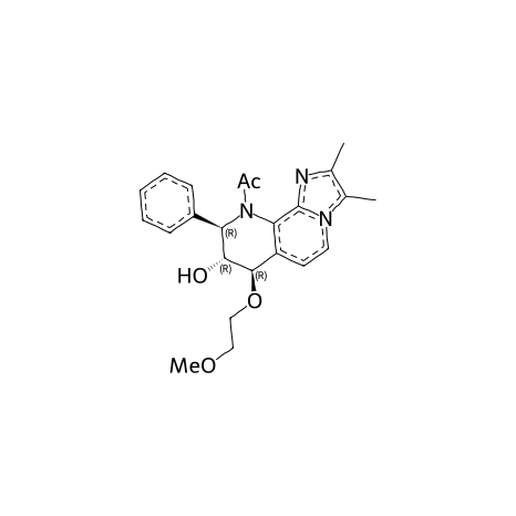 COCCO[C@@H]1c2ccn3c(C)c(C)nc3c2N(C(C)=O)[C@H](c2ccccc2)[C@H]1O